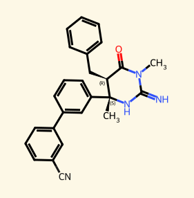 CN1C(=N)N[C@](C)(c2cccc(-c3cccc(C#N)c3)c2)[C@@H](Cc2ccccc2)C1=O